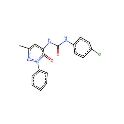 Cc1cc(NC(=O)Nc2ccc(Cl)cc2)c(=O)n(-c2ccccc2)n1